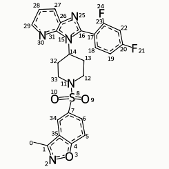 Cc1noc2ccc(S(=O)(=O)N3CCC(n4c(-c5ccc(F)cc5F)nc5cccnc54)CC3)cc12